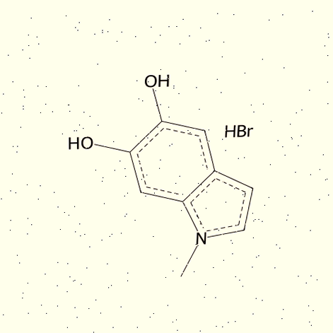 Br.Cn1ccc2cc(O)c(O)cc21